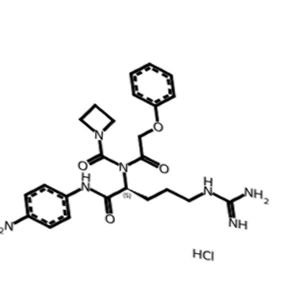 Cl.N=C(N)NCCC[C@@H](C(=O)Nc1ccc([N+](=O)[O-])cc1)N(C(=O)COc1ccccc1)C(=O)N1CCC1